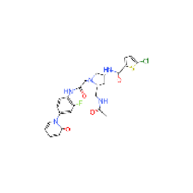 CC(=O)NC[C@@H]1C[C@@H](NC(=O)c2ccc(Cl)s2)CN1CC(=O)Nc1ccc(-n2ccccc2=O)cc1F